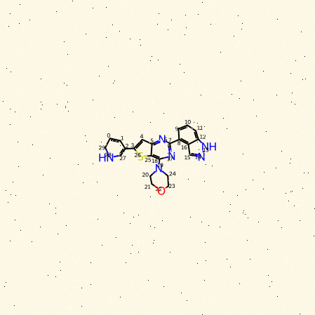 C1=CC(c2cc3nc(-c4cccc5[nH]ncc45)nc(N4CCOCC4)c3s2)=CNC1